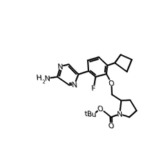 CC(C)(C)OC(=O)N1CCCC1COc1c(C2CCC2)ccc(-c2cnc(N)cn2)c1F